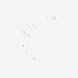 CCn1cc(-c2ccc3nc(C)ccc3c2)nc1C(N)CCCCCC(=O)c1ncco1